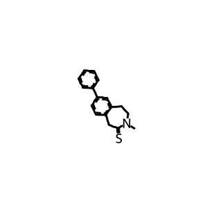 CN1CCc2cc(-c3ccccc3)ccc2CC1=S